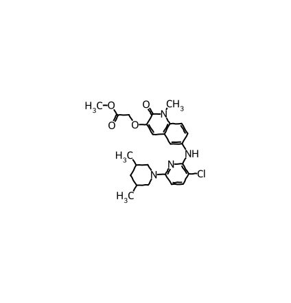 COC(=O)COc1cc2cc(Nc3nc(N4CC(C)CC(C)C4)ccc3Cl)ccc2n(C)c1=O